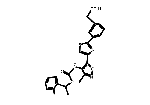 Cc1noc(-c2csc(-c3cccc(CC(=O)O)c3)n2)c1NC(=O)OC(C)c1ccccc1F